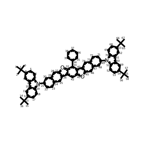 CC(C)(C)c1ccc2c(c1)c1cc(C(C)(C)C)ccc1n2-c1ccc2cc3c(cc2c1)oc1c(-c2ccccc2)c2c(cc13)oc1cc3cc(-n4c5ccc(C(C)(C)C)cc5c5cc(C(C)(C)C)ccc54)ccc3cc12